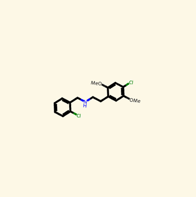 COc1cc(CCNCc2ccccc2Cl)c(OC)cc1Cl